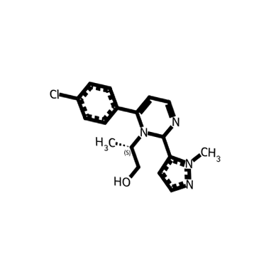 C[C@@H](CO)N1C(c2ccc(Cl)cc2)=CC=NC1c1ccnn1C